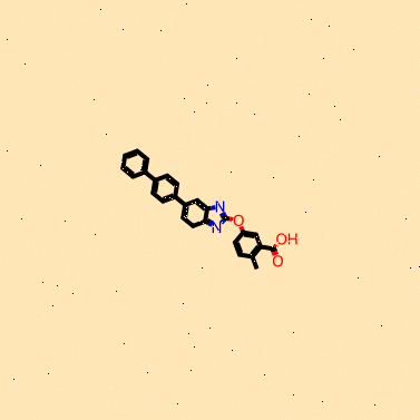 Cc1ccc(OC2=NC3=CC(c4ccc(-c5ccccc5)cc4)=CCC3=N2)cc1C(=O)O